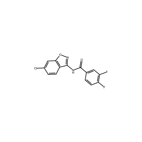 O=C(Nc1noc2cc(Cl)ccc12)c1ccc(F)c(F)c1